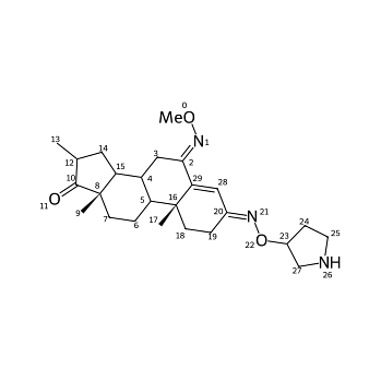 CON=C1CC2C(CC[C@]3(C)C(=O)C(C)CC23)[C@@]2(C)CCC(=NOC3CCNC3)C=C12